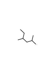 [CH2]C(C)C[C](C)CC